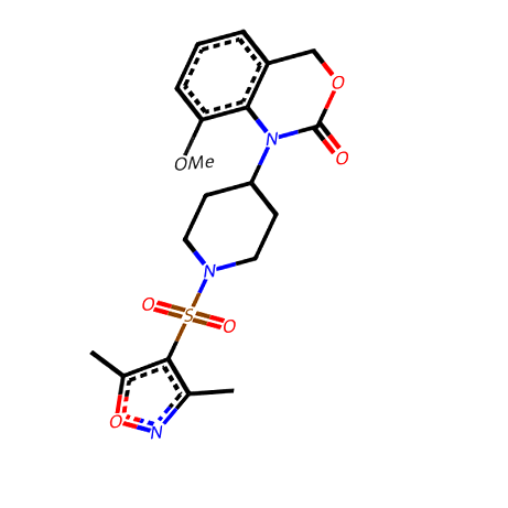 COc1cccc2c1N(C1CCN(S(=O)(=O)c3c(C)noc3C)CC1)C(=O)OC2